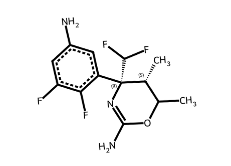 CC1OC(N)=N[C@](c2cc(N)cc(F)c2F)(C(F)F)[C@@H]1C